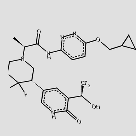 C[C@@H](C(=O)Nc1ccc(OCC2CC2)nn1)N1CCC(F)(F)[C@@H](c2c[nH]c(=O)c([C@H](O)C(F)(F)F)c2)C1